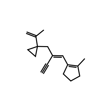 C#C/C(=C\C1=C(C)CCC1)CC1(C(=C)C)CC1